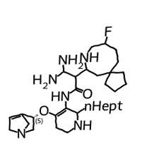 CCCCCCCC1NCCC(O[C@@H]2CN3CC=C2C3)=C1NC(=O)C(C(N)N)C1CC2(CCCC2)CCC(F)CN1